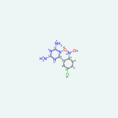 Nc1nc(N)nc(-c2cc(Cl)ccc2[N+](=O)[O-])n1